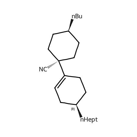 CCCCCCC[C@H]1CC=C([C@]2(C#N)CC[C@H](CCCC)CC2)CC1